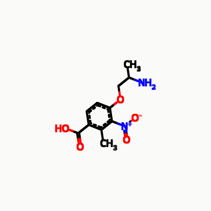 Cc1c(C(=O)O)ccc(OCC(C)N)c1[N+](=O)[O-]